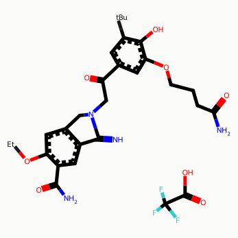 CCOc1cc2c(cc1C(N)=O)C(=N)N(CC(=O)c1cc(OCCCC(N)=O)c(O)c(C(C)(C)C)c1)C2.O=C(O)C(F)(F)F